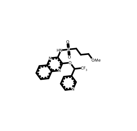 COCCCS(=O)(=O)Nc1nc2ccccc2nc1OC(c1cccnc1)C(F)(F)F